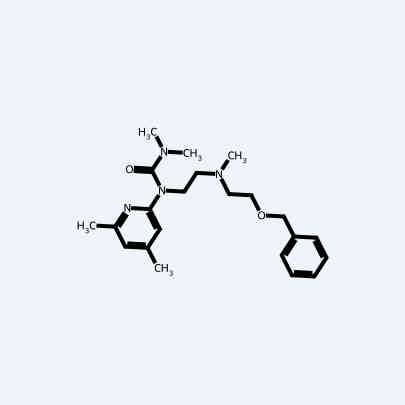 Cc1cc(C)nc(N(CCN(C)CCOCc2ccccc2)C(=O)N(C)C)c1